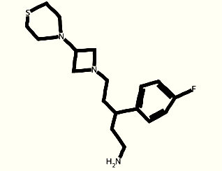 NCCC(CCN1CC(N2CCSCC2)C1)c1ccc(F)cc1